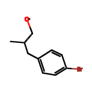 CC(C[O])Cc1ccc(Br)cc1